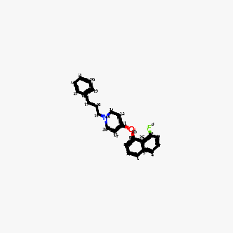 Fc1cccc2cccc(OC3CCN(CCCc4ccccc4)CC3)c12